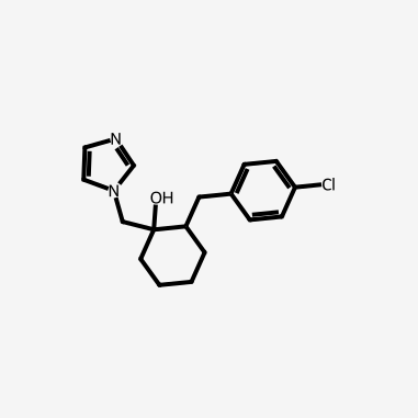 OC1(Cn2ccnc2)CCCCC1Cc1ccc(Cl)cc1